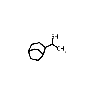 CC(S)C1CCC2CCC1CC2